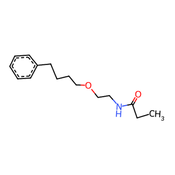 CCC(=O)NCCOCCCCc1ccccc1